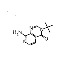 CC(C)(C)n1cnc2c(N)nccc2c1=O